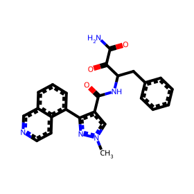 Cn1cc(C(=O)NC(Cc2ccccc2)C(=O)C(N)=O)c(-c2cccc3cnccc23)n1